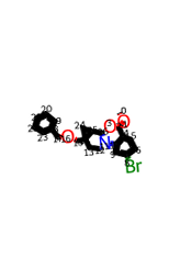 COC(=O)c1ccc(Br)cc1N1CCC2(COCc3ccccc3)CC2C1